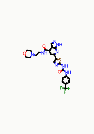 O=C(Nc1ccc(C(F)(F)F)cc1)Nc1ncc(-c2cc(C(=O)NCCN3CCOCC3)c3cn[nH]c3n2)s1